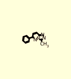 Cc1nnc2ccc(-c3ccccc3)nn12